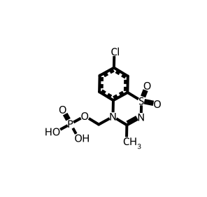 CC1=NS(=O)(=O)c2cc(Cl)ccc2N1COP(=O)(O)O